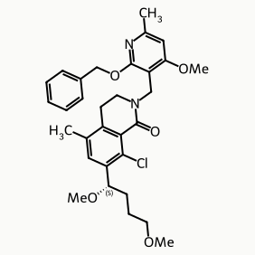 COCCC[C@H](OC)c1cc(C)c2c(c1Cl)C(=O)N(Cc1c(OC)cc(C)nc1OCc1ccccc1)CC2